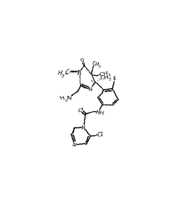 CN1C(=O)C(C)(C)[C@@](C)(c2cc(NC(=O)N3CC=NC=C3Cl)ccc2F)N=C1N